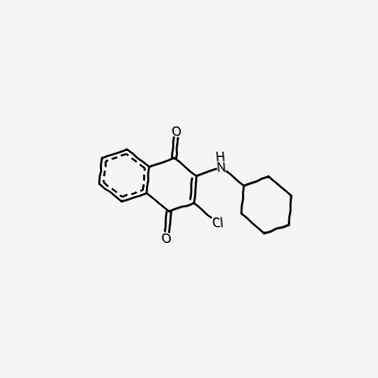 O=C1C(Cl)=C(NC2CCCCC2)C(=O)c2ccccc21